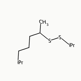 CC(C)CCCC(C)SSC(C)C